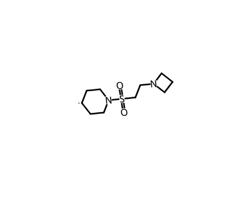 O=S(=O)(CCN1CCC1)N1CC[CH]CC1